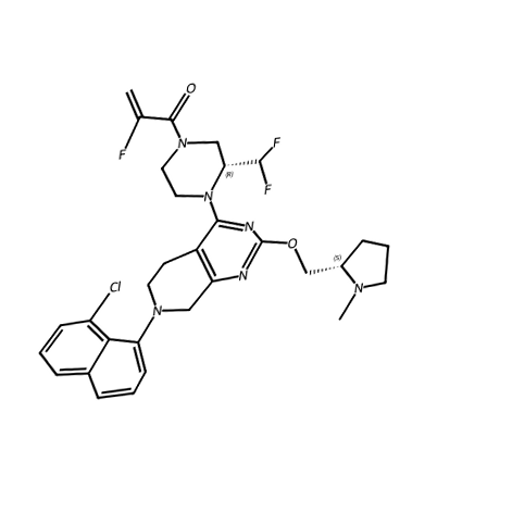 C=C(F)C(=O)N1CCN(c2nc(OC[C@@H]3CCCN3C)nc3c2CCN(c2cccc4cccc(Cl)c24)C3)[C@@H](C(F)F)C1